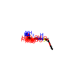 CCCCCCCCCCCC=C=CCC(=O)SCCNC(=O)CCNC(=O)[C@H](O)C(C)(C)COP(=O)(O)OP(=O)(O)OC[C@H]1O[C@H](n2cnc3c(N)ncnc32)[C@H](O)[C@@H]1OP(=O)(O)O